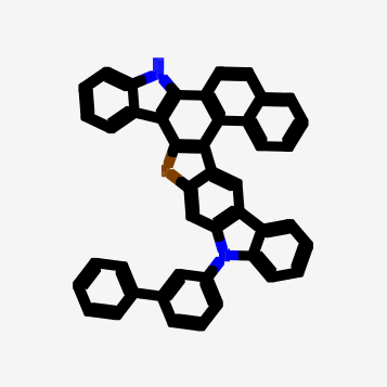 c1ccc(-c2cccc(-n3c4ccccc4c4cc5c(cc43)sc3c4c6ccccc6[nH]c4c4ccc6ccccc6c4c53)c2)cc1